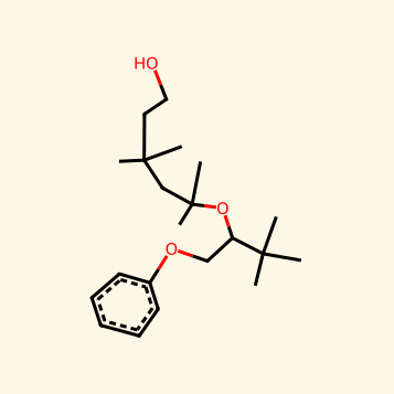 CC(C)(CCO)CC(C)(C)OC(COc1ccccc1)C(C)(C)C